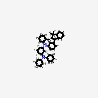 CC1(C)C2=C(c3ccccc31)c1cccc3c1B2c1ccccc1N3c1cccc(N(c2ccccc2)c2ccccc2)c1